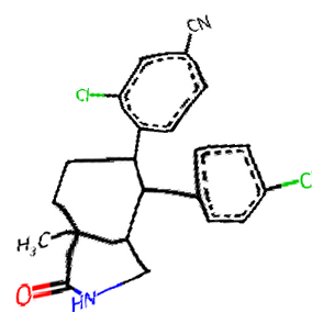 CC12CCC(c3ccc(C#N)cc3Cl)C(c3ccc(Cl)cc3)C1CNC2=O